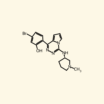 CN1CCC[C@@H](Nc2nnc(-c3ccc(Br)cc3O)c3cccn23)C1